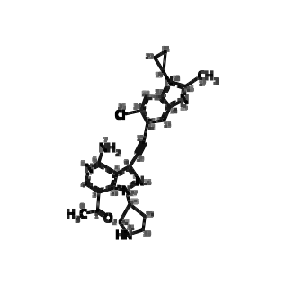 CC(=O)c1cnc(N)c2c(C#Cc3cc4nc(C)n(C5CC5)c4cc3Cl)nn(C3CCNC3)c12